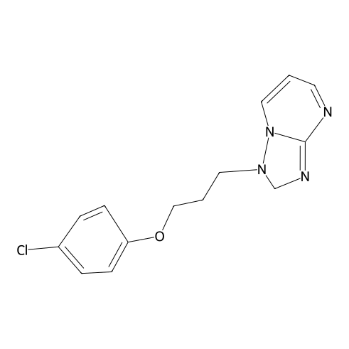 Clc1ccc(OCCCN2CN=C3N=CC=CN32)cc1